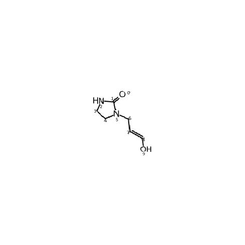 O=C1NCCN1CC=CO